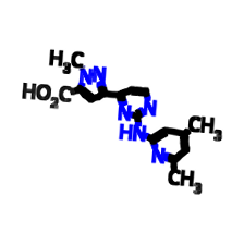 Cc1cc(C)nc(Nc2nccc(-c3cc(C(=O)O)n(C)n3)n2)c1